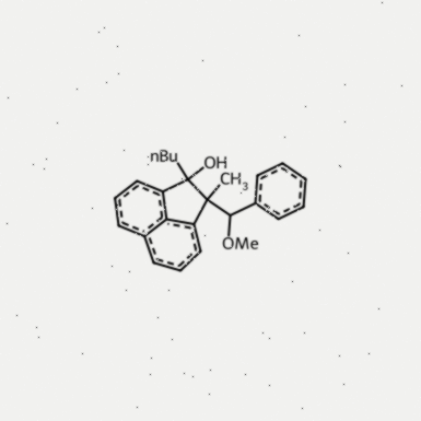 CCCCC1(O)c2cccc3cccc(c23)C1(C)C(OC)c1ccccc1